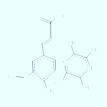 COc1cc(C=CC(=O)O)ccc1O.Cc1nc(C)c(C)nc1C